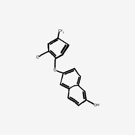 Oc1ccc2cc(Oc3ccc(C(F)(F)F)cc3Cl)ccc2c1